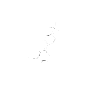 CCC(F)(F)c1ccc(-c2cc(C(C)=O)nc(Cl)n2)cc1